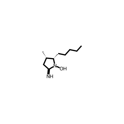 CCCCC[C@H]1[C@@H](C)CC(=N)N1O